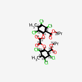 Cc1c(Cl)c(Cl)c(C(=O)OC(C)C)c(OC(=O)C(=O)Oc2c(Cl)c(C)c(Cl)c(Cl)c2C(=O)OC(C)C)c1Cl